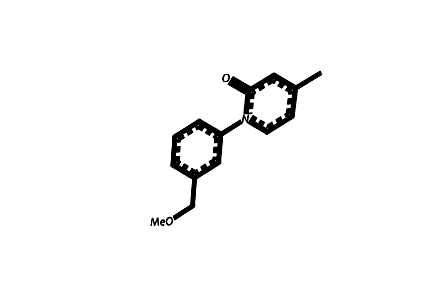 COCc1cccc(-n2ccc(C)cc2=O)c1